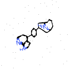 c1cc(-c2ccc(C3CC4CCCC(C3)N4)cc2)c2cc[nH]c2n1